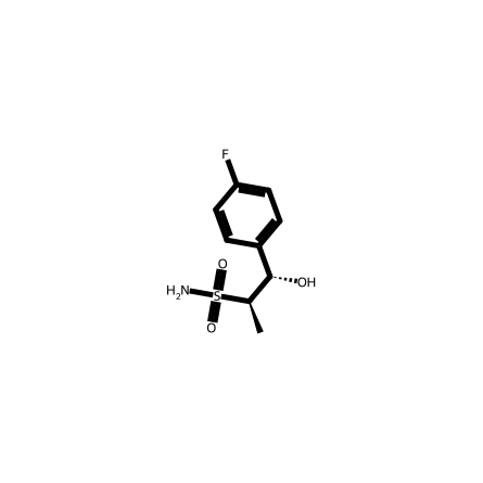 C[C@H]([C@@H](O)c1ccc(F)cc1)S(N)(=O)=O